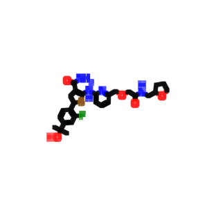 CC(C)(O)c1ccc(C2CC(C(N)=O)=C(Nc3cccc(COCC(=O)NCC4CCCO4)n3)S2)c(F)c1